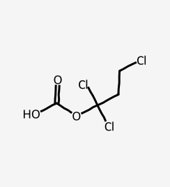 O=C(O)OC(Cl)(Cl)CCCl